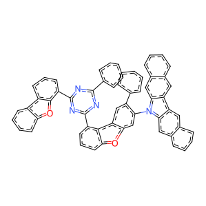 c1ccc(-c2nc(-c3cccc4c3oc3ccccc34)nc(-c3cccc4oc5cc(-n6c7cc8ccccc8cc7c7cc8ccccc8cc76)c(-c6ccccc6)cc5c34)n2)cc1